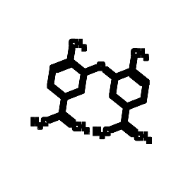 C=C(C)C1CC=C(C)C(OC2CC(C(=C)C)CC=C2C)C1